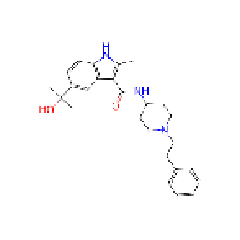 Cc1[nH]c2ccc(C(C)(C)O)cc2c1C(=O)NC1CCN(CCc2ccccc2)CC1